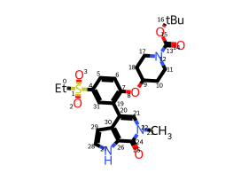 CCS(=O)(=O)c1ccc(OC2CCN(C(=O)OC(C)(C)C)CC2)c(-c2cn(C)c(=O)c3[nH]ccc23)c1